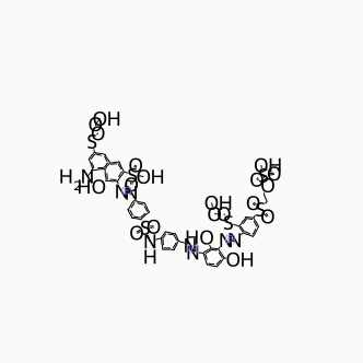 Nc1cc(SOOO)cc2cc(S(=O)(=O)O)c(/N=N/c3ccc(S(=O)(=O)Nc4ccc(/N=N/c5ccc(O)c(/N=N/c6ccc(S(=O)(=O)CCOS(=O)(=O)O)cc6SOOO)c5O)cc4)cc3)c(O)c12